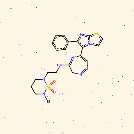 CCN1CCCN(CCNC2=NC(c3c(-c4ccccc4)nc4sccn34)=CC=NC2)S1(=O)=O